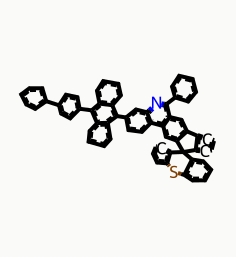 c1ccc(-c2ccc(-c3c4ccccc4c(-c4ccc5c(c4)nc(-c4ccccc4)c4cc6c(cc45)C4(c5ccccc5Sc5ccccc54)c4ccccc4-6)c4ccccc34)cc2)cc1